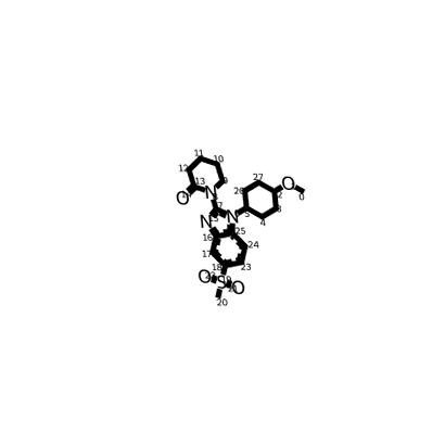 COC1CCC(n2c(N3CCCCC3=O)nc3cc(S(C)(=O)=O)ccc32)CC1